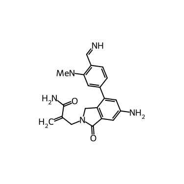 C=C(CN1Cc2c(cc(N)cc2-c2ccc(C=N)c(NC)c2)C1=O)C(N)=O